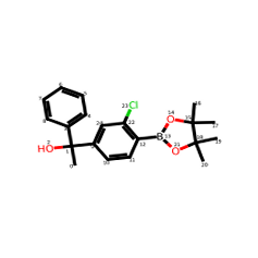 CC(O)(c1ccccc1)c1ccc(B2OC(C)(C)C(C)(C)O2)c(Cl)c1